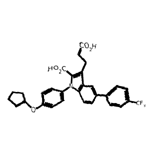 O=C(O)CCc1c(C(=O)O)n(-c2ccc(OC3CCCC3)cc2)c2ccc(-c3ccc(C(F)(F)F)cc3)cc12